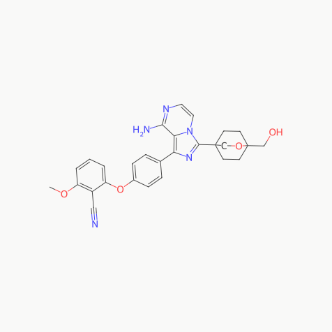 COc1cccc(Oc2ccc(-c3nc(C45CCC(CO)(CC4)OC5)n4ccnc(N)c34)cc2)c1C#N